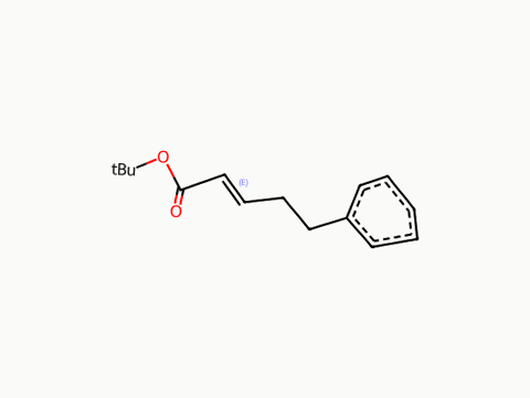 CC(C)(C)OC(=O)/C=C/CCc1ccccc1